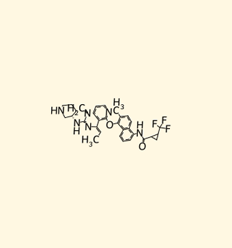 C=N/C(=N\C(=C/C)c1cccnc1Oc1c(C)ccc2c(NC(=O)C3CC3C(F)(F)F)cccc12)N[C@H]1CCCNC1